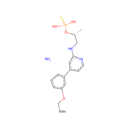 CCCCCCCCCCCOc1cccc(-c2ccnc(NC[C@@H](C)OP(O)(O)=S)c2)c1.N